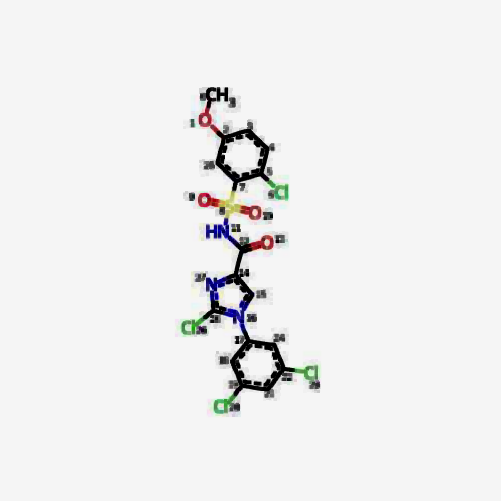 COc1ccc(Cl)c(S(=O)(=O)NC(=O)c2cn(-c3cc(Cl)cc(Cl)c3)c(Cl)n2)c1